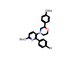 COc1ccc(C2CN(c3ccc(OC)nc3-c3ccc(C(C)C)cc3)CCO2)cc1